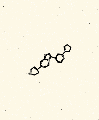 C1=C(c2ccn3c(-c4ccnc(C5=CCCC5)c4)cnc3c2)CCNC1